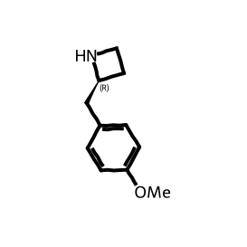 COc1ccc(C[C@@H]2CCN2)cc1